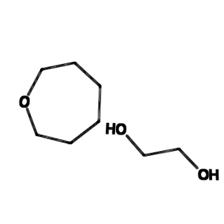 C1CCCOCC1.OCCO